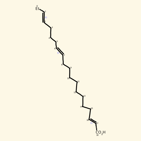 CC/C=C/CCC/C=C/CCCCCCCC/C=C/C(=O)O